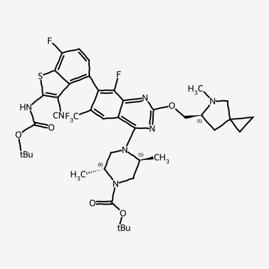 C[C@@H]1CN(c2nc(OC[C@@H]3CC4(CC4)CN3C)nc3c(F)c(-c4ccc(F)c5sc(NC(=O)OC(C)(C)C)c(C#N)c45)c(C(F)(F)F)cc23)[C@@H](C)CN1C(=O)OC(C)(C)C